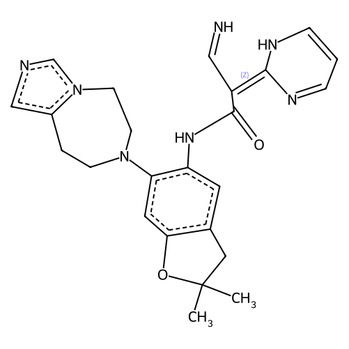 CC1(C)Cc2cc(NC(=O)/C(C=N)=C3\N=CC=CN3)c(N3CCc4cncn4CC3)cc2O1